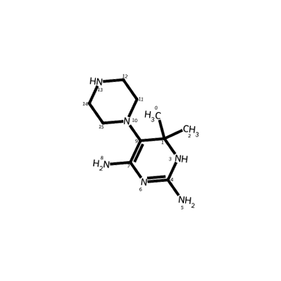 CC1(C)NC(N)=NC(N)=C1N1CCNCC1